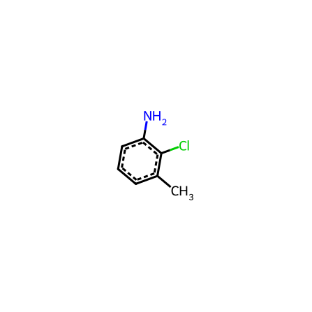 Cc1cccc(N)c1Cl